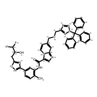 Cc1ccc(-c2noc(C[C@H](O)C(F)F)n2)cc1NC(=O)c1cnc2cc(COCc3nnn(C(c4ccccc4)(c4ccccc4)c4ccccc4)n3)ccn12